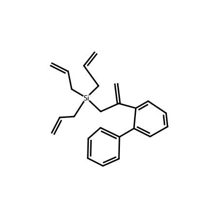 C=CC[Si](CC=C)(CC=C)CC(=C)c1ccccc1-c1ccccc1